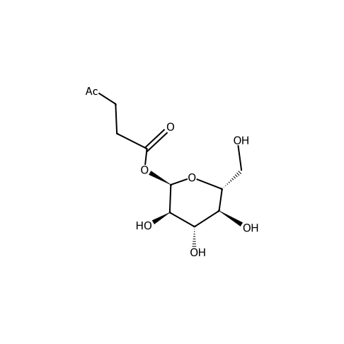 CC(=O)CCC(=O)O[C@H]1O[C@H](CO)[C@@H](O)[C@H](O)[C@H]1O